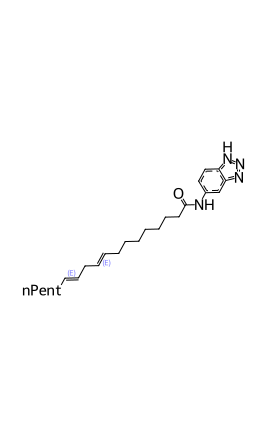 CCCCC/C=C/C/C=C/CCCCCCCC(=O)Nc1ccc2[nH]nnc2c1